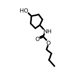 CCCCOC(=O)NC1CCC(O)CC1